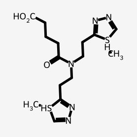 C[SH]1C=NN=C1CCN(CCC1=NN=C[SH]1C)C(=O)CCCC(=O)O